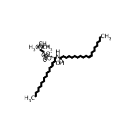 CCCCCCCC/C=C\CCCCCCCCCC(=O)N[C@@H](COP(=O)([O-])OCC[N+](C)(C)C)[C@H](O)/C=C/CCCCCCCCCCCCC